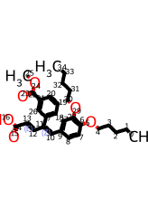 CCCCCOc1ccc(/C=C(/C=C/C(=O)O)c2cccc(C(=O)OC)c2)cc1OCCCCC